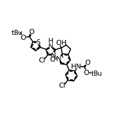 CC(C)(C)OC(=O)Nc1ccc(Cl)cc1-c1cc2c([n+]([O-])c1)C(O)(c1nc(Cl)c(-c3ccc(C(=O)OC(C)(C)C)s3)[nH]1)CC2